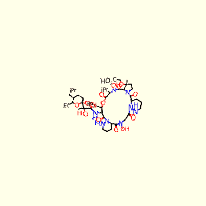 CCC1OC(O)(C(C)(O)C(=O)NC2C(=O)N3NCCCC3C(=O)N(O)CC(=O)N3NCCCC3C(=O)N3CCC(C)(OCC(=O)O)C3C(=O)N(O)C(C(C)C)C(=O)OC2C(C)C)CCC1CC(C)C